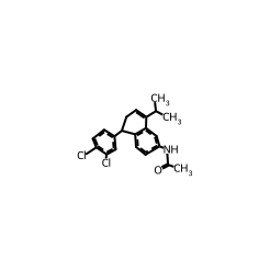 CC(=O)Nc1ccc2c(c1)C(C(C)C)=CCC2c1ccc(Cl)c(Cl)c1